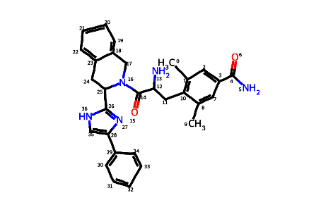 Cc1cc(C(N)=O)cc(C)c1CC(N)C(=O)N1Cc2ccccc2CC1c1nc(-c2ccccc2)c[nH]1